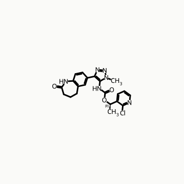 C[C@@H](OC(=O)Nc1c(-c2ccc3c(c2)CCCC(=O)N3)nnn1C)c1cccnc1Cl